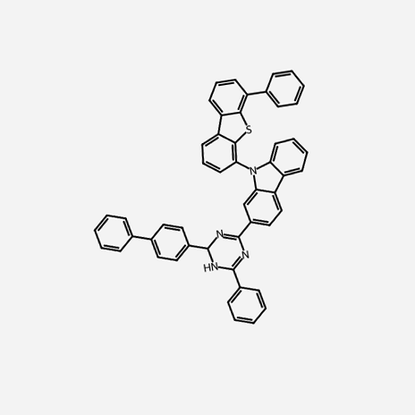 c1ccc(C2=NC(c3ccc4c5ccccc5n(-c5cccc6c5sc5c(-c7ccccc7)cccc56)c4c3)=NC(c3ccc(-c4ccccc4)cc3)N2)cc1